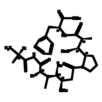 CC[C@H](C)[C@@H]([C@@H](CC(=O)N1CCC[C@H]1[C@H](OC)[C@@H](C)C(=O)N[C@@H](Cc1ccccc1)C(=O)OC)OC)N(C)[C@H](C(=O)NC(=O)[C@@](C)(N)CC)C(C)C